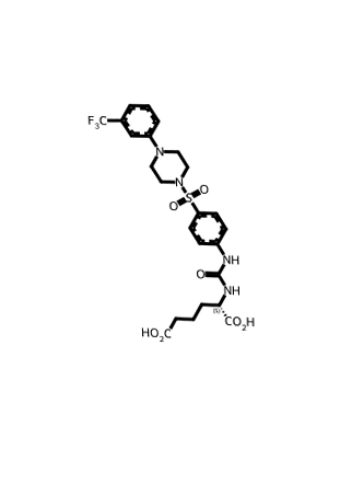 O=C(O)CCC[C@H](NC(=O)Nc1ccc(S(=O)(=O)N2CCN(c3cccc(C(F)(F)F)c3)CC2)cc1)C(=O)O